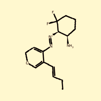 CC/C=C/C1=COCC=C1N=[N+][C@@H]1[C@H](N)CCCC1(F)F